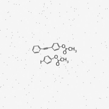 CC(=O)Oc1ccc(C#Cc2ccccc2)cc1.CC(=O)Oc1ccc(I)cc1